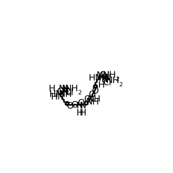 N=C(NCCCCc1ccc(OCCOCCNC(=O)NC2CCC(NC(=O)NCCOCCOc3ccc(CCCCNC(=N)NC(=O)c4nc(Cl)c(N)nc4N)cc3)CC2)cc1)NC(=O)c1nc(Cl)c(N)nc1N